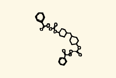 O=C(OOC(=O)c1ccccc1)OC1CCC(CC2CCC(OC(=O)OOC(=O)c3ccccc3)CC2)CC1